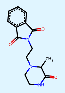 CC1C(=O)NCCN1CCN1C(=O)c2ccccc2C1=O